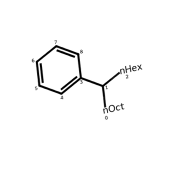 CCCCCCCCC(CCCCCC)c1ccccc1